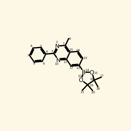 Cc1nc(-c2ccccc2)nc2cc(B3OC(C)(C)C(C)(C)O3)ccc12